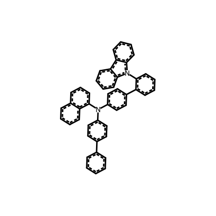 c1ccc(-c2ccc(N(c3ccc(-c4ccccc4-n4c5ccccc5c5ccccc54)cc3)c3cccc4ccccc34)cc2)cc1